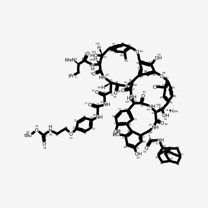 CN[C@H](CC(C)C)C(=O)N[C@H]1C(=O)N[C@@H](CC(=O)NC(=O)Nc2ccc(OCCNC(=O)OC(C)(C)C)cc2)C(=O)N[C@H]2C(=O)N[C@H]3C(=O)N[C@H](C(=O)N[C@H](C(=O)NC4C5CC6CC(C5)CC4C6)c4cc(O)cc(O)c4-c4cc3ccc4O)[C@H](O)c3ccc(c(Cl)c3)Oc3cc2cc(c3O)Oc2ccc(cc2C)[C@H]1O